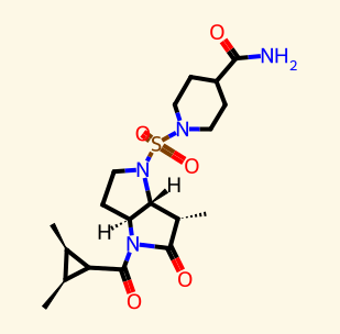 C[C@@H]1C(=O)N(C(=O)C2[C@@H](C)[C@H]2C)[C@H]2CCN(S(=O)(=O)N3CCC(C(N)=O)CC3)[C@H]12